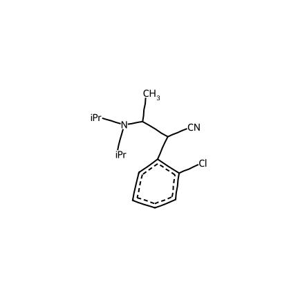 CC(C)N(C(C)C)C(C)C(C#N)c1ccccc1Cl